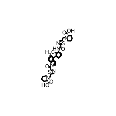 Cc1c(NC(=O)c2ncc(CN3CCCC[C@H]3C(=O)O)s2)cccc1-c1cccc2c1ccn2C(=O)c1ncc(CN2CCCC[C@H]2C(=O)O)s1